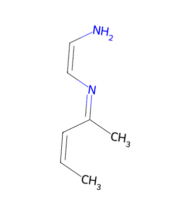 C\C=C/C(C)=N\C=C/N